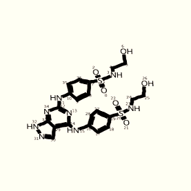 O=S(=O)(NCCO)c1ccc(Nc2nc(Nc3ccc(S(=O)(=O)NCCO)cc3)c3cn[nH]c3n2)cc1